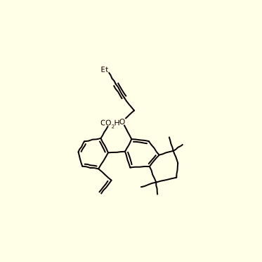 C=Cc1cccc(C(=O)O)c1-c1cc2c(cc1OCC#CCC)C(C)(C)CCC2(C)C